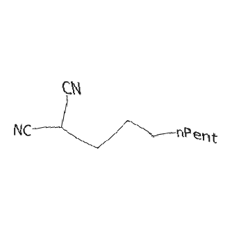 CCCCCCCCC(C#N)C#N